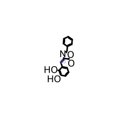 O=C1OC(c2ccccc2)=N/C1=C/c1cccc(O)c1O